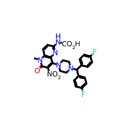 Cn1c(=O)c([N+](=O)[O-])c(N2CCN(C(c3ccc(F)cc3)c3ccc(F)cc3)CC2)c2nc(NC(=O)O)ccc21